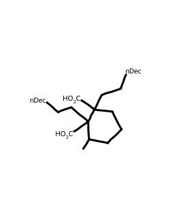 CCCCCCCCCCCCC1(C(=O)O)CCCC(C)C1(CCCCCCCCCCCC)C(=O)O